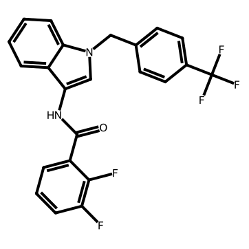 O=C(Nc1cn(Cc2ccc(C(F)(F)F)cc2)c2ccccc12)c1cccc(F)c1F